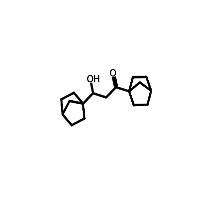 O=C(CC(O)C12CCC(CC1)C2)C12CCC(CC1)C2